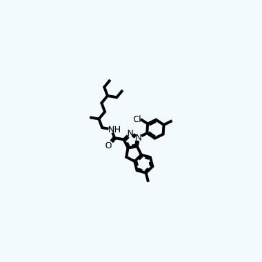 CCC(CC)CCC(C)CNC(=O)c1nn(C2=CCC(C)C=C2Cl)c2c1Cc1cc(C)ccc1-2